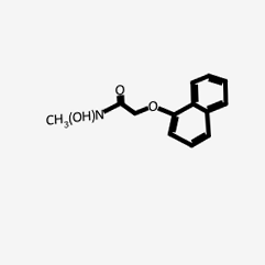 CN(O)C(=O)COc1cccc2ccccc12